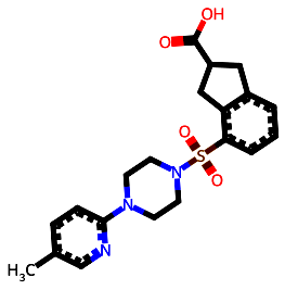 Cc1ccc(N2CCN(S(=O)(=O)c3cccc4c3CC(C(=O)O)C4)CC2)nc1